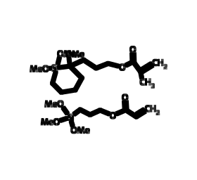 C=C(C)C(=O)OCCCC1(OC)CCCC[Si]1(OC)OC.C=CC(=O)OCCC[Si](OC)(OC)OC